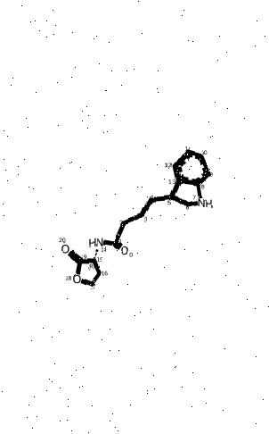 O=C(CCCC1CNc2ccccc21)N[C@@H]1CCOC1=O